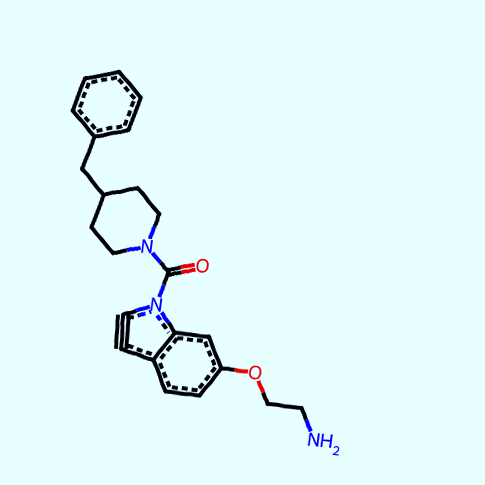 NCCOc1ccc2c#cn(C(=O)N3CCC(Cc4ccccc4)CC3)c2c1